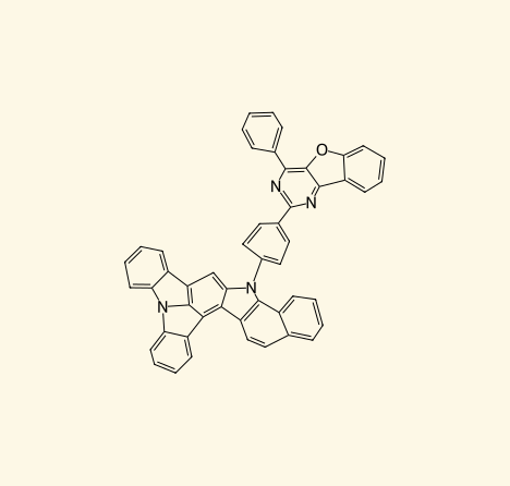 c1ccc(-c2nc(-c3ccc(-n4c5cc6c7ccccc7n7c8ccccc8c(c5c5ccc8ccccc8c54)c67)cc3)nc3c2oc2ccccc23)cc1